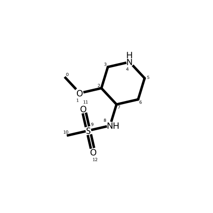 COC1CNCCC1NS(C)(=O)=O